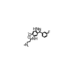 COc1cc2[nH]nc(-c3cccc(F)c3)c2cc1NC(=O)CCN(C)C